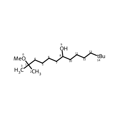 COC(C)(C)CCCCC(O)CCCCC(C)(C)C